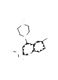 Brc1ccc2nccc(N3CCNCC3)c2c1.CC(C)(C)OC=O